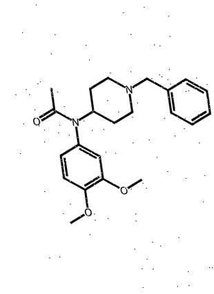 COc1ccc(N(C(C)=O)C2CCN(Cc3ccccc3)CC2)cc1OC